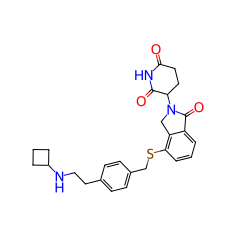 O=C1CCC(N2Cc3c(SCc4ccc(CCNC5CCC5)cc4)cccc3C2=O)C(=O)N1